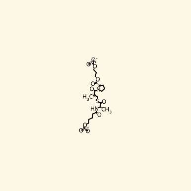 CC(NC(=O)CCCCO[N+](=O)[O-])C(=O)SC[C@@H](C)C(=O)N1CCC[C@H]1C(=O)OCCCO[N+](=O)[O-]